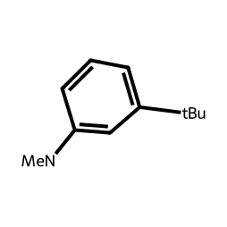 CNc1cccc(C(C)(C)C)c1